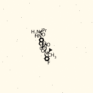 CC(C)C(N)C(=O)Nc1ccc2c(c1)CC[C@]21OC(=O)N(CC(=O)N(Cc2ccc(F)cc2)C(C)C2CC2)C1=O